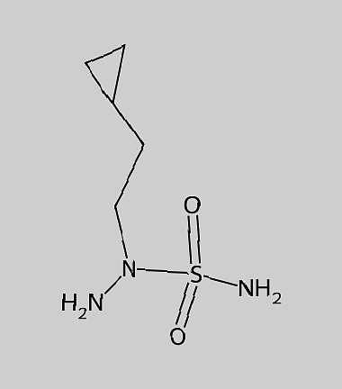 NN(CCC1CC1)S(N)(=O)=O